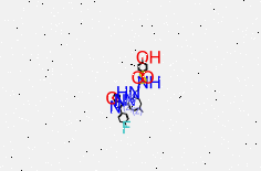 C/C1=C/C=C(c2c(C3=CCC(F)C=C3)nc3occn23)\N=C(\NCCNS(=O)(=O)c2ccc(O)cc2)CC1